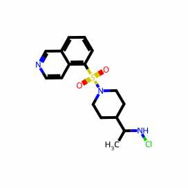 CC(NCl)C1CCN(S(=O)(=O)c2cccc3cnccc23)CC1